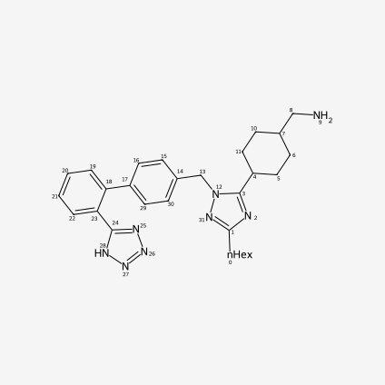 CCCCCCc1nc(C2CCC(CN)CC2)n(Cc2ccc(-c3ccccc3-c3nnn[nH]3)cc2)n1